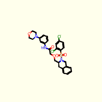 O=C(COCC1Cc2ccccc2CN1S(=O)(=O)c1ccc(Cl)cc1Cl)Nc1cccc(N2CCOCC2)c1